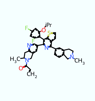 C=CC(=O)N1Cc2cc(-c3nc(-c4ccc5c(c4)CCN(C)C5)c4ccsc4c3-c3c(F)cc(F)cc3OC(C)C)cnc2CC1C